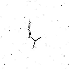 [CH2]CC(C)N=C=O